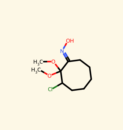 COC1(OC)C(=NO)CCCCCC1Cl